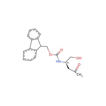 CC(=O)C[C@H](CO)NC(=O)OCC1c2ccccc2-c2ccccc21